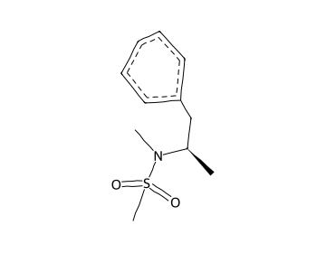 C[C@H](Cc1ccccc1)N(C)S(C)(=O)=O